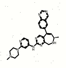 C[C@@H]1C=C(c2ccc3ncncc3c2)c2cnc(Nc3ccnc(N4CCN(C)CC4)c3)nc2CN1